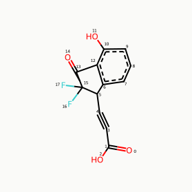 O=C(O)C#CC1c2cccc(O)c2C(=O)C1(F)F